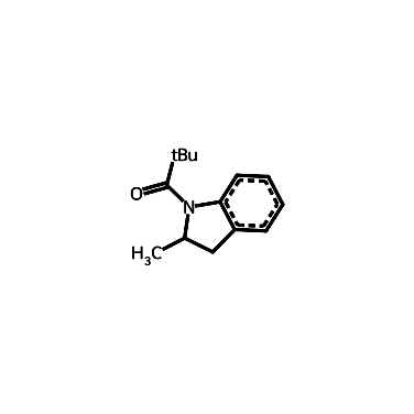 CC1Cc2ccccc2N1C(=O)C(C)(C)C